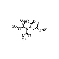 COC(=O)C[C@@H](C(=O)OC)N(C(=O)OC(C)(C)C)C(=O)OC(C)(C)C